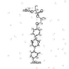 CCCCCCCCCc1ccc(-c2cnc(-c3ccc(OCC(C)OC(=O)C(C)OCCCC)cc3)nc2)cc1